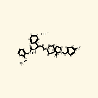 COc1ccccc1NC(=O)NC(CCN1CCC2(CC1)CCN(Cc1ccc(Br)cc1)C2=O)c1ccccc1.Cl